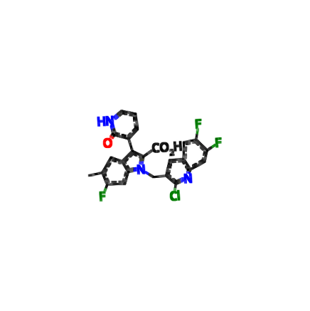 Cc1cc2c(-c3ccc[nH]c3=O)c(C(=O)O)n(Cc3cc4cc(F)c(F)cc4nc3Cl)c2cc1F